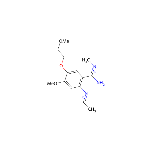 C/C=N/c1cc(OC)c(OCCOC)cc1/C(N)=N\C